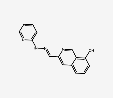 Oc1cccc2cc(C=NNc3ccccn3)ncc12